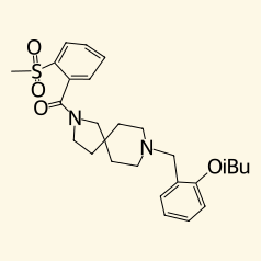 CC(C)COc1ccccc1CN1CCC2(CC1)CCN(C(=O)c1ccccc1S(C)(=O)=O)C2